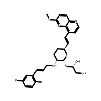 COc1ccc2nccc(/C=C/[C@@H]3CC[C@@H](NC/C=C/c4cc(F)ccc4F)[C@@H](C[C@H](O)CO)O3)c2n1